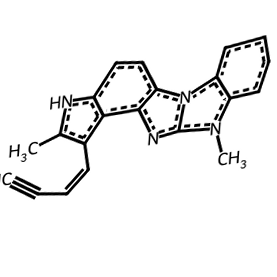 C#C/C=C\c1c(C)[nH]c2ccc3c(nc4n(C)c5ccccc5n34)c12